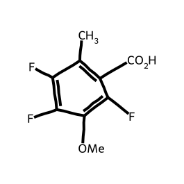 COc1c(F)c(F)c(C)c(C(=O)O)c1F